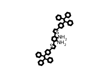 Nc1c(-c2ccc(-c3ccc(C(=C(c4ccccc4)c4ccccc4)c4ccccc4)cc3)s2)ccc(-c2ccc(-c3ccc(C(=C(c4ccccc4)c4ccccc4)c4ccccc4)cc3)s2)c1N